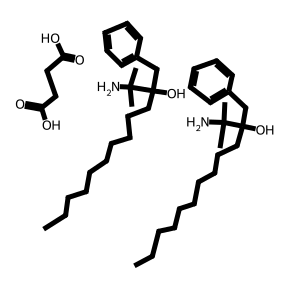 CCCCCCCCCCC(O)(Cc1ccccc1)C(C)(C)N.CCCCCCCCCCC(O)(Cc1ccccc1)C(C)(C)N.O=C(O)CCC(=O)O